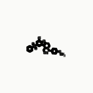 COc1ccc(CN2CCc3oc4c(Cl)cc(S(=O)(=O)c5ccccc5)cc4c3C2CO)cc1